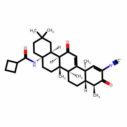 [C-]#[N+]C1=C[C@]2(C)C3=CC(=O)[C@@H]4[C@@H]5CC(C)(C)CC[C@]5(NC(=O)C5CCC5)CC[C@@]4(C)[C@]3(C)CC[C@H]2[C@H](C)C1=O